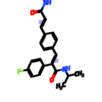 CC(C)NC(=O)/C(=C/c1ccc(/C=C/C(=O)NO)cc1)c1ccc(F)cc1